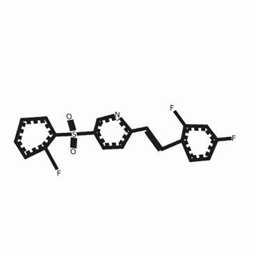 O=S(=O)(c1ccc(C=Cc2ccc(F)cc2F)nc1)c1ccccc1F